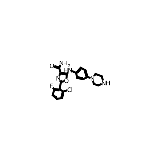 NC(=O)c1nc(-c2c(F)cccc2Cl)oc1Nc1ccc(N2CCNCC2)cc1